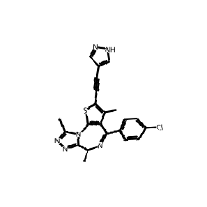 Cc1c(C#Cc2cn[nH]c2)sc2c1C(c1ccc(Cl)cc1)=N[C@@H](C)c1nnc(C)n1-2